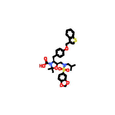 CC(C)CN(C[C@H]1OC(C)(C)N(C(=O)O)[C@H]1Cc1ccc(OCc2csc3ccccc23)cc1)S(=O)(=O)c1ccc2c(c1)OCO2